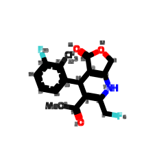 COC(=O)C1=C(CF)NC2=C(C(=O)OC2)C1c1cccc(F)c1C(F)(F)F